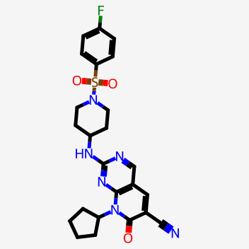 N#Cc1cc2cnc(NC3CCN(S(=O)(=O)c4ccc(F)cc4)CC3)nc2n(C2CCCC2)c1=O